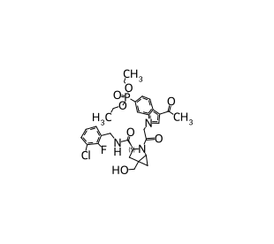 CCOP(=O)(OCC)c1ccc2c(C(C)=O)cn(CC(=O)N3C4CC4(CO)C[C@H]3C(=O)NCc3cccc(Cl)c3F)c2c1